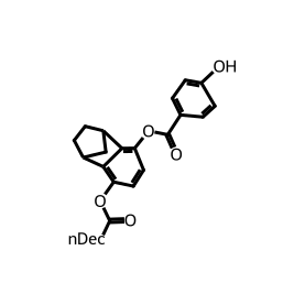 CCCCCCCCCCC(=O)Oc1ccc(OC(=O)c2ccc(O)cc2)c2c1C1CCC2C1